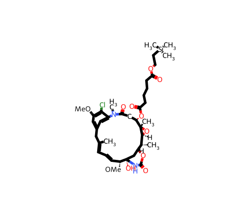 COc1cc2cc(c1Cl)N(C)C(=O)C[C@H](OC(=O)CCCCC(=O)OCC[Si](C)(C)C)[C@]1(C)O[C@H]1[C@H](C)[C@@H]1C[C@@](O)(NC(=O)O1)[C@H](OC)/C=C/C=C(\C)C2